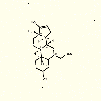 COC[C@@H]1C[C@@H]2[C@H](CC[C@]3(C)C(O)=CC[C@@H]23)[C@@]2(C)CCC(O)CC12